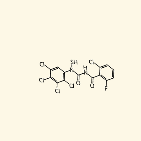 O=C(NC(=O)N(S)c1cc(Cl)c(Cl)c(Cl)c1Cl)c1c(F)cccc1Cl